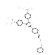 CN(C)c1ccc(-c2nc(-c3ccc(/C=C/COCc4ccccc4)cc3)[nH]c2-c2ccc(N(C)C)cc2)cc1